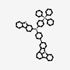 c1ccc([Si](c2ccccc2)(c2ccccc2)c2ccc(N(c3ccc(-c4ccc5c(c4)c4cccc6c7ccccc7n5c64)cc3)c3ccc4c(c3)sc3ccccc34)cc2)cc1